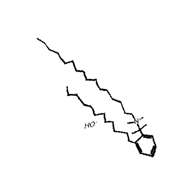 CCCCCCCCCCCCCCCC[N+](C)(C)C(C)(C)c1ccccc1CCCCCCCCCCCC.[OH-]